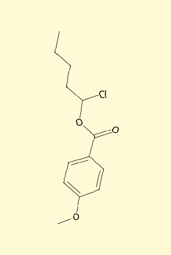 CCCCC(Cl)OC(=O)c1ccc(OC)cc1